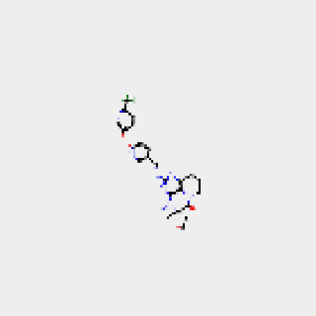 CN1c2nc(NCc3ccc(Oc4ccc(C(F)(F)F)nc4)nc3)nc3c2N(CCC3)C(=O)[C@@]12CCOC2